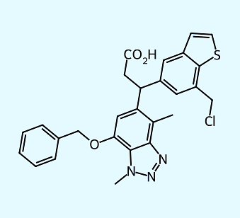 Cc1c(C(CC(=O)O)c2cc(CCl)c3sccc3c2)cc(OCc2ccccc2)c2c1nnn2C